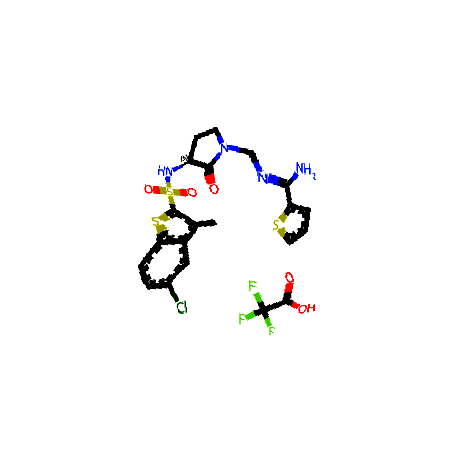 Cc1c(S(=O)(=O)N[C@H]2CCN(CN=C(N)c3cccs3)C2=O)sc2ccc(Cl)cc12.O=C(O)C(F)(F)F